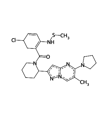 CSNC1=C(C(=O)N2CCCCC2c2cc3nc(N4CCCC4)c(C)cn3n2)CC(Cl)C=C1